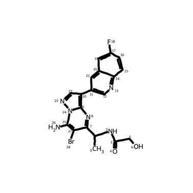 CC(NC(=O)CO)c1nc2c(-c3cnc4ccc(F)cc4c3)cnn2c(N)c1Br